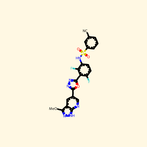 COc1n[nH]c2ncc(-c3nnc(-c4c(F)ccc(NS(=O)(=O)c5cccc(C#N)c5)c4F)o3)cc12